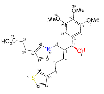 COc1cc([C@@H](O)[C@@H](CCCc2ccsc2)Cn2ccc(CCC(=O)O)c2)cc(OC)c1OC